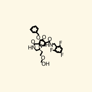 O=C(NCc1c(F)cc(F)cc1F)c1cn2c(c(OCc3ccccc3)c1=O)C(=O)NC[C@@H]2CCOCO